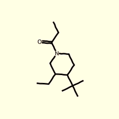 CCC(=O)N1CCC(C(C)(C)C)C(CC)C1